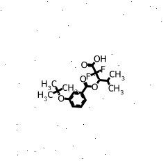 CC(C)C(OC(=O)c1cccc(OC(C)(C)C)c1)C(F)(F)C(=O)O